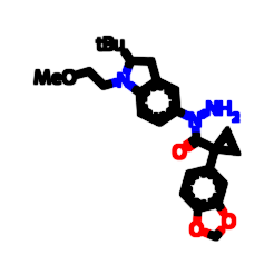 COCCN1c2ccc(N(N)C(=O)C3(c4ccc5c(c4)OCO5)CC3)cc2CC1C(C)(C)C